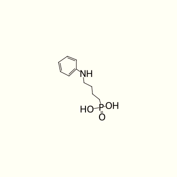 O=P(O)(O)CCCCNc1ccccc1